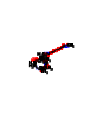 COCCNC(=O)CCOCCOCCOCCOCCOCCNC(=O)OC1CCC(C[C@@H](C)[C@@H]2CC(=O)[C@H](C)/C=C(\C)C(O)[C@@H](O)C(=O)[C@H](C)C[C@H](C)/C=C/C=C/C=C(\C)[C@@H](OC)C[C@@H]3CC[C@@H](C)[C@@](O)(O3)C(=O)C(=O)N3CCCC[C@H]3C(=O)O2)C[C@H]1OC